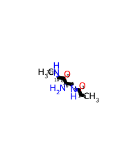 CCC(=O)NCC(N)C(=O)CNC